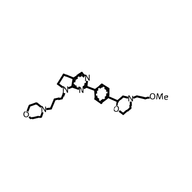 COCCN1CCOC(c2ccc(-c3ncc4c(n3)N(CCCN3CCOCC3)CC4)cc2)C1